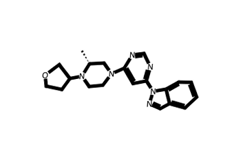 C[C@@H]1CN(c2cc(-n3ncc4ccccc43)ncn2)CCN1C1CCOC1